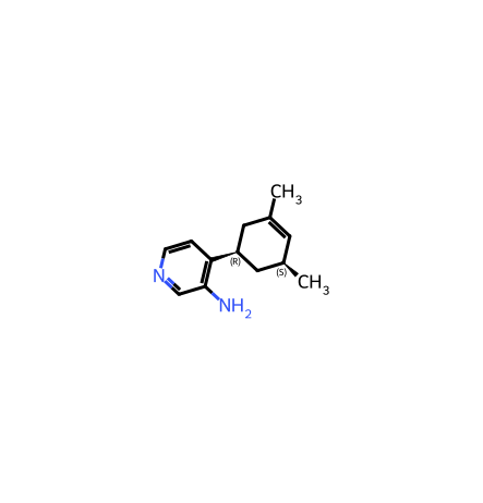 CC1=C[C@@H](C)C[C@@H](c2ccncc2N)C1